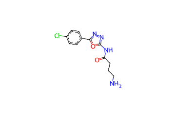 NCCCC(=O)Nc1nnc(-c2ccc(Cl)cc2)o1